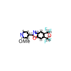 COc1cnccc1-c1nc2cc3c(cc2o1)C(F)(F)OC3(F)F